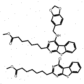 COC(=O)CCCCCCc1nc(Cl)c2c(n1)sc1ccccc12.COC(=O)CCCCCCc1nc(NCc2ccc3c(c2)OCO3)c2c(n1)sc1ccccc12